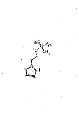 CC(C)(C)[Si](C)(C)OCCN1CC=CN1